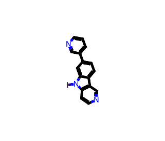 In1c2ccncc2c2ccc(-c3cccnc3)cc21